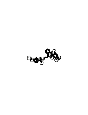 CCOc1ccc(C(=O)NCCCN2C(=O)C3(COc4cc5c(cc43)OCO5)c3ccccc32)cc1